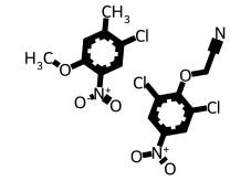 COc1cc(C)c(Cl)cc1[N+](=O)[O-].N#CCOc1c(Cl)cc([N+](=O)[O-])cc1Cl